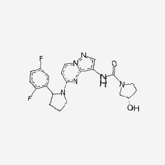 O=C(Nc1cnn2ccc(N3CCCC3c3cc(F)ccc3F)nc12)N1CC[C@H](O)C1